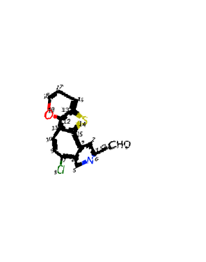 O=Cc1cc2c(cn1)=C(Cl)C=Cc1c3c(sc1=2)=CC=CO3